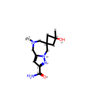 CC(C)N1Cc2cc(C(N)=O)nn2CC2(C1)CC(C)(O)C2